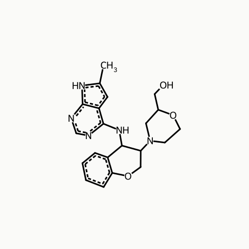 Cc1cc2c(NC3c4ccccc4OCC3N3CCOC(CO)C3)ncnc2[nH]1